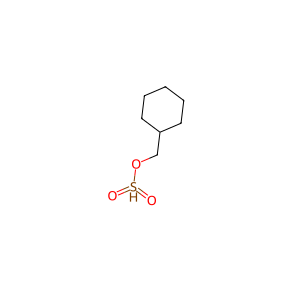 O=[SH](=O)OCC1CCCCC1